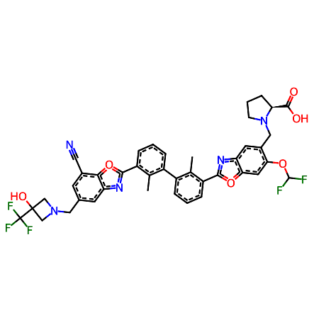 Cc1c(-c2nc3cc(CN4CCC[C@H]4C(=O)O)c(OC(F)F)cc3o2)cccc1-c1cccc(-c2nc3cc(CN4CC(O)(C(F)(F)F)C4)cc(C#N)c3o2)c1C